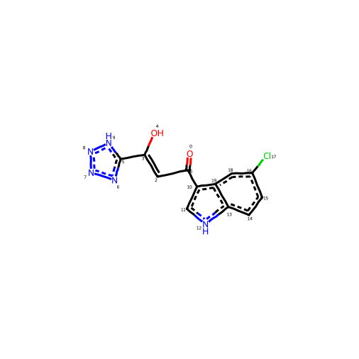 O=C(/C=C(\O)c1nnn[nH]1)c1c[nH]c2ccc(Cl)cc12